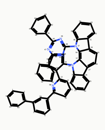 c1ccc(-c2cccc(-c3cccc(-c4ccccc4-n4c5ccccc5c5ccc6c7ccccc7n(-c7nc(-c8ccccc8)nc(-c8ccccc8)n7)c6c54)n3)c2)cc1